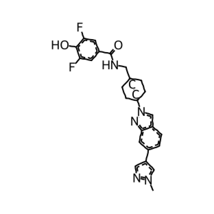 Cn1cc(-c2ccc3cn(C45CCC(CNC(=O)c6cc(F)c(O)c(F)c6)(CC4)CC5)nc3c2)cn1